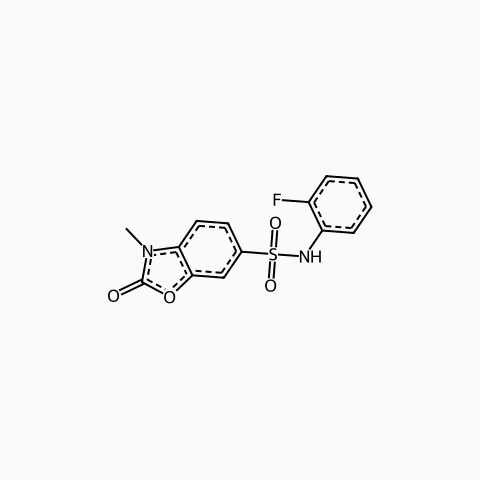 Cn1c(=O)oc2cc(S(=O)(=O)Nc3ccccc3F)ccc21